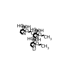 CCCOc1ncccc1B(O)O.CCCOc1ncccc1B(O)O.CCCOc1ncccc1B(O)O.[Li]